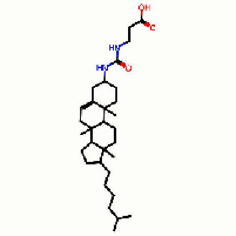 CC(C)CCCCC1CCC2C1(C)CCC1C3(C)CCC(NC(=O)NCCC(=O)O)CC3=CCC12C